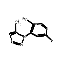 Cc1cnnn1-c1cc(F)ccc1Br